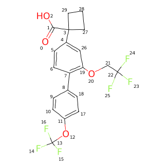 O=C(O)C1(c2ccc(-c3ccc(OC(F)(F)F)cc3)c(OCC(F)(F)F)c2)CCC1